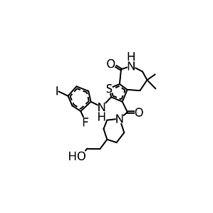 CC1(C)CNC(=O)c2sc(Nc3ccc(I)cc3F)c(C(=O)N3CCC(CCO)CC3)c2C1